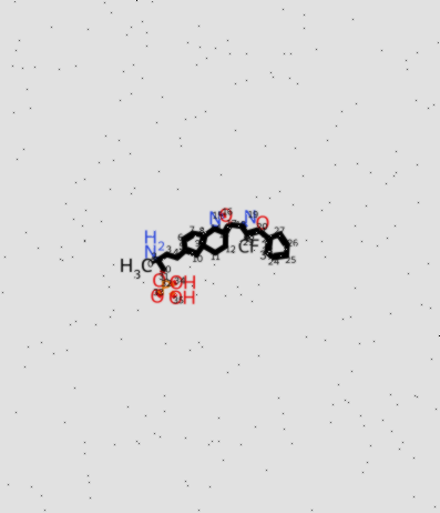 C[C@@](N)(CCc1ccc2c(c1)CCc1c-2noc1-c1noc(-c2ccccc2)c1C(F)(F)F)COP(=O)(O)O